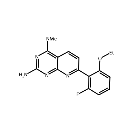 CCOc1cccc(F)c1-c1ccc2c(NC)nc(N)nc2n1